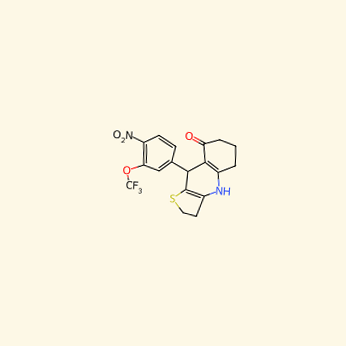 O=C1CCCC2=C1C(c1ccc([N+](=O)[O-])c(OC(F)(F)F)c1)C1=C(CCS1)N2